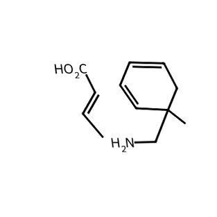 CC1(CN)C=CC=CC1.CC=CC(=O)O